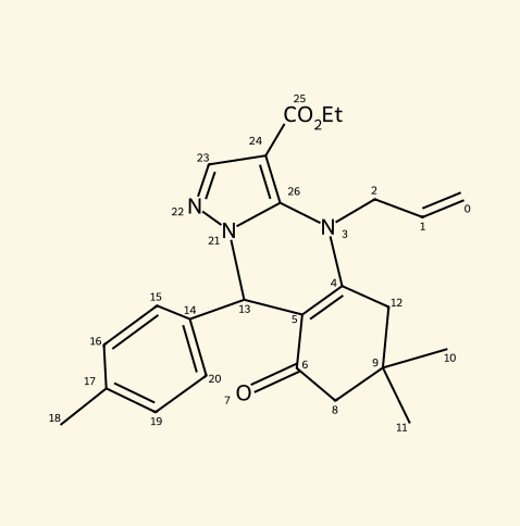 C=CCN1C2=C(C(=O)CC(C)(C)C2)C(c2ccc(C)cc2)n2ncc(C(=O)OCC)c21